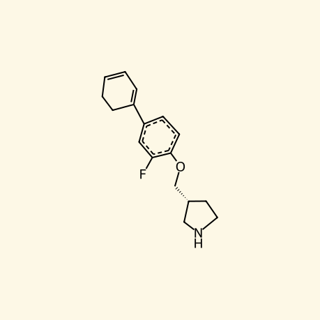 Fc1cc(C2=CC=CCC2)ccc1OC[C@@H]1CCNC1